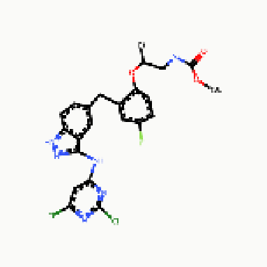 CCC(CNC(=O)OC(C)(C)C)Oc1ccc(F)cc1Cc1ccc2[nH]nc(Nc3cc(Cl)nc(Cl)n3)c2c1